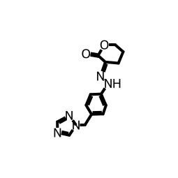 O=C1OCCC/C1=N\Nc1ccc(Cn2cncn2)cc1